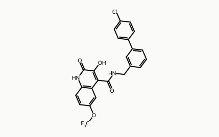 O=C(NCc1cccc(-c2ccc(Cl)cc2)c1)c1c(O)c(=O)[nH]c2ccc(OC(F)(F)F)cc12